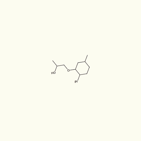 CC(O)COC1CC(C)CCC1C(C)C